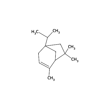 CC1=CCC2(C(C)C)CC1C(C)(C)C2